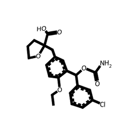 CCOc1ccc(CC2(C(=O)O)CCCO2)cc1C(OC(N)=O)c1cccc(Cl)c1